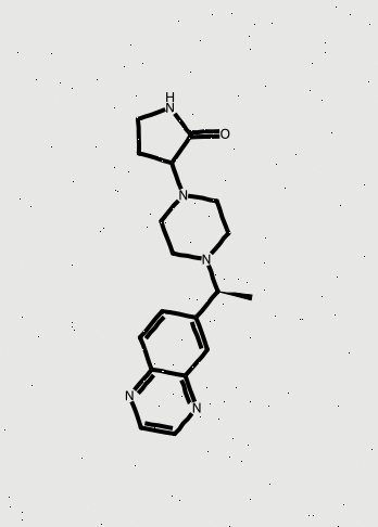 C[C@@H](c1ccc2nccnc2c1)N1CCN(C2CCNC2=O)CC1